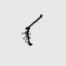 Cc1ccnc(NCCCC(N)C(=O)NCC(=O)NC(CC(=O)O)c2ccc(-c3ccc(OCCOCCOCCOCCOCCN=[N+]=[N-])c4ccccc34)cc2)c1